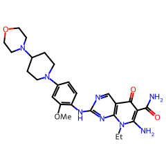 CCn1c(N)c(C(N)=O)c(=O)c2cnc(Nc3ccc(N4CCC(N5CCOCC5)CC4)cc3OC)nc21